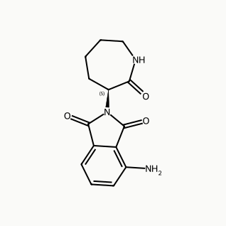 Nc1cccc2c1C(=O)N([C@H]1CCCCNC1=O)C2=O